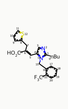 CCCCc1ncc(C=C(Cc2cccs2)C(=O)O)n1Cc1ccccc1C(F)(F)F